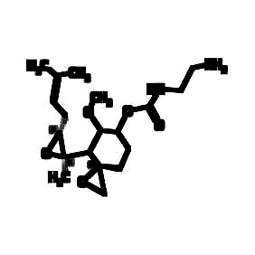 COC1C(OC(=O)NCCN)CC[C@]2(CO2)C1[C@@]1(C)O[C@@H]1CC=C(C)C